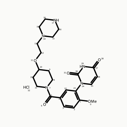 COc1ccc(C(=O)N2CCC(OCCN3CCNCC3)CC2)cc1-n1ccc(=O)[nH]c1=O.Cl